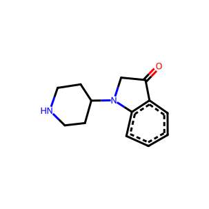 O=C1CN(C2CCNCC2)c2ccccc21